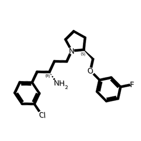 N[C@@H](CCN1CCC[C@H]1COc1cccc(F)c1)Cc1cccc(Cl)c1